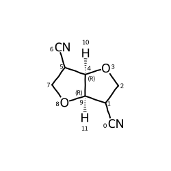 N#CC1CO[C@@H]2C(C#N)CO[C@H]12